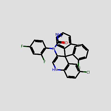 Cc1ccccc1C1(c2ccccc2Cl)C(N(C(N)=O)c2ccc(F)cc2F)=CNc2ccc(Cl)cc21